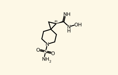 N=C(NO)[C@@H]1CC12CCN(S(N)(=O)=O)CC2